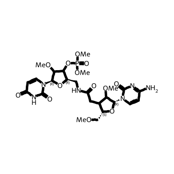 COC[C@H]1O[C@@H](n2ccc(N)nc2=O)C(OC)C1CC(=O)NC[C@H]1O[C@@H](n2ccc(=O)[nH]c2=O)C(OC)C1OP(=O)(OC)OC